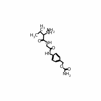 CC(C)C(NN)C(=O)NCC(=O)Nc1ccc(COC(N)=O)cc1